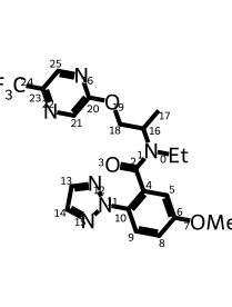 CCN(C(=O)c1cc(OC)ccc1-n1nccn1)C(C)COc1cnc(C(F)(F)F)cn1